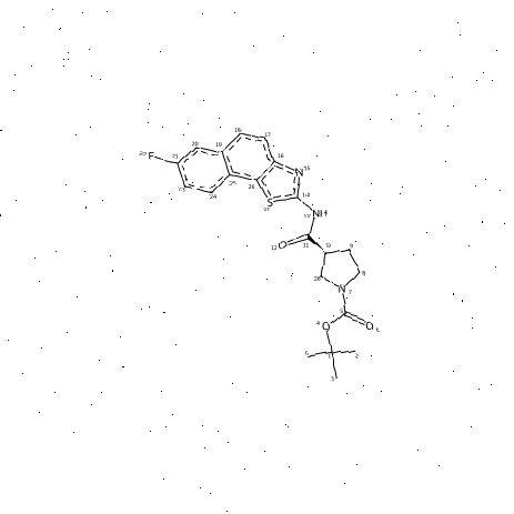 CC(C)(C)OC(=O)N1CC[C@H](C(=O)Nc2nc3ccc4cc(F)ccc4c3s2)C1